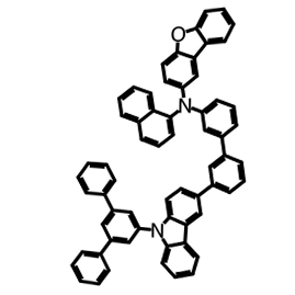 c1ccc(-c2cc(-c3ccccc3)cc(-n3c4ccccc4c4cc(-c5cccc(-c6cccc(N(c7ccc8oc9ccccc9c8c7)c7cccc8ccccc78)c6)c5)ccc43)c2)cc1